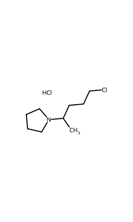 CC(CCCCl)N1CCCC1.Cl